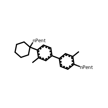 CCCCCc1ccc(-c2ccc(C3(CCCCC)CCCCC3)c(C)c2)cc1C